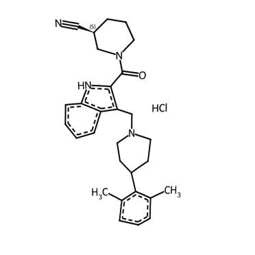 Cc1cccc(C)c1C1CCN(Cc2c(C(=O)N3CCC[C@H](C#N)C3)[nH]c3ccccc23)CC1.Cl